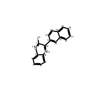 Ic1nc2ccccc2nc1-c1ccc2ccccc2c1